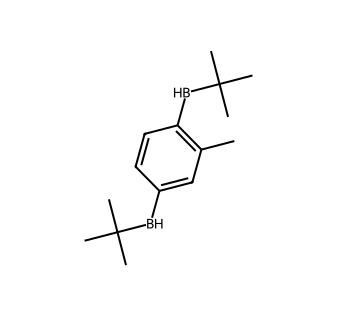 Cc1cc(BC(C)(C)C)ccc1BC(C)(C)C